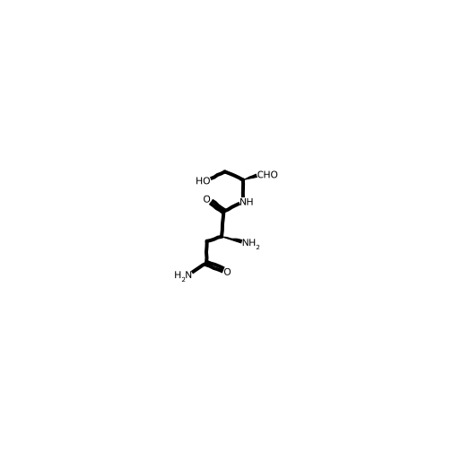 NC(=O)C[C@H](N)C(=O)N[C@H](C=O)CO